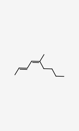 CC=CC=C(C)CCCC